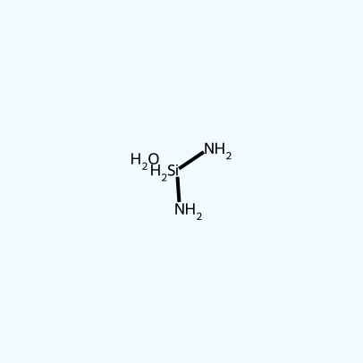 N[SiH2]N.O